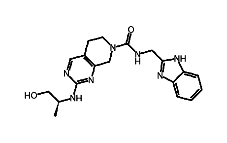 C[C@@H](CO)Nc1ncc2c(n1)CN(C(=O)NCc1nc3ccccc3[nH]1)CC2